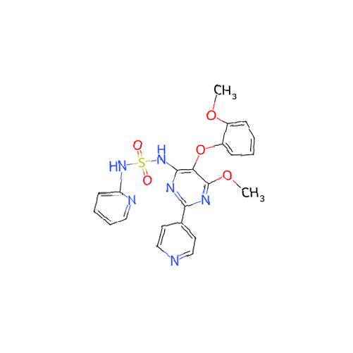 COc1ccccc1Oc1c(NS(=O)(=O)Nc2ccccn2)nc(-c2ccncc2)nc1OC